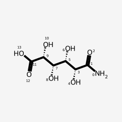 NC(=O)[C@H](O)[C@@H](O)[C@H](O)[C@@H](O)C(=O)O